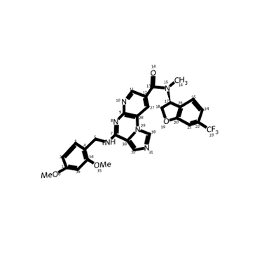 COc1ccc(CNc2nc3ncc(C(=O)N(C)[C@@H]4COc5cc(C(F)(F)F)ccc54)cc3n3cncc23)c(OC)c1